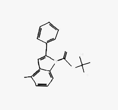 CC(C)(C)OC(=O)n1c(-c2ccccc2)cc2c(F)cccc21